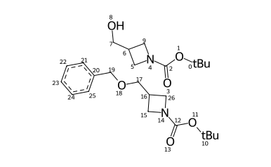 CC(C)(C)OC(=O)N1CC(CO)C1.CC(C)(C)OC(=O)N1CC(COCc2ccccc2)C1